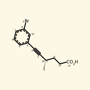 C[C@H](C#Cc1cccc(Br)c1)CCC(=O)O